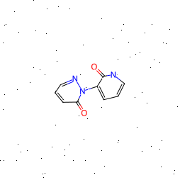 O=C1[N]C=CC=C1n1ncccc1=O